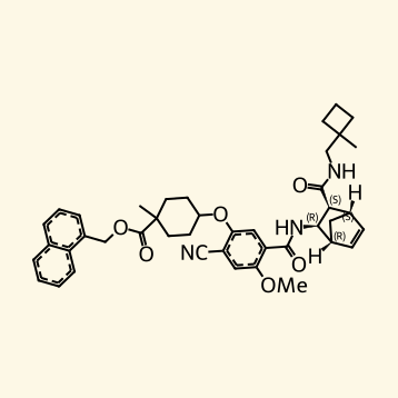 COc1cc(C#N)c(OC2CCC(C)(C(=O)OCc3cccc4ccccc34)CC2)cc1C(=O)N[C@H]1[C@@H](C(=O)NCC2(C)CCC2)[C@@H]2C=C[C@H]1C2